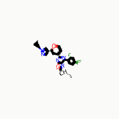 Cc1nc2c(-c3ccc(F)cc3F)nc([C@H]3CCO[C@@H](c4cnn(C5CC5)c4)C3)nc2o1